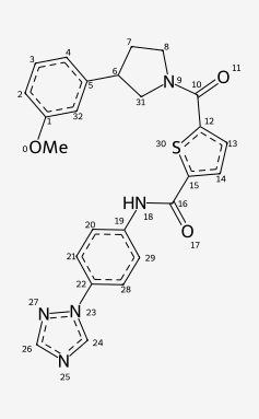 COc1cccc(C2CCN(C(=O)c3ccc(C(=O)Nc4ccc(-n5cncn5)cc4)s3)C2)c1